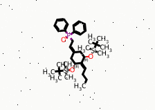 CCCC=C1[C@H](O[Si](C)(C)C(C)(C)C)CC(=CCP(=O)(c2ccccc2)c2ccccc2)C[C@H]1O[Si](C)(C)C(C)(C)C